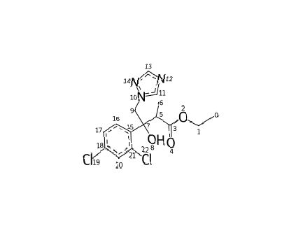 CCOC(=O)C(C)C(O)(Cn1cncn1)c1ccc(Cl)cc1Cl